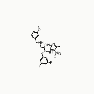 COc1cccc(CNC[C@@H](O)[C@H](Cc2cc(F)cc(F)c2)Nc2c([N+](=O)[O-])c(C)nn2C)c1